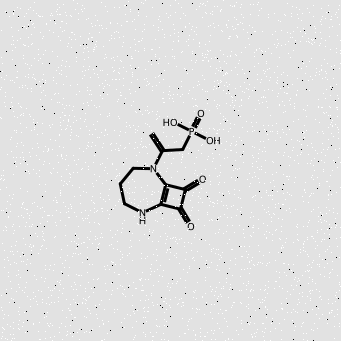 C=C(CP(=O)(O)O)N1CCCNc2c1c(=O)c2=O